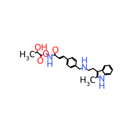 Cc1[nH]c2ccccc2c1CCNCc1ccc(/C=C/C(=O)NOC(=O)C(C)O)cc1